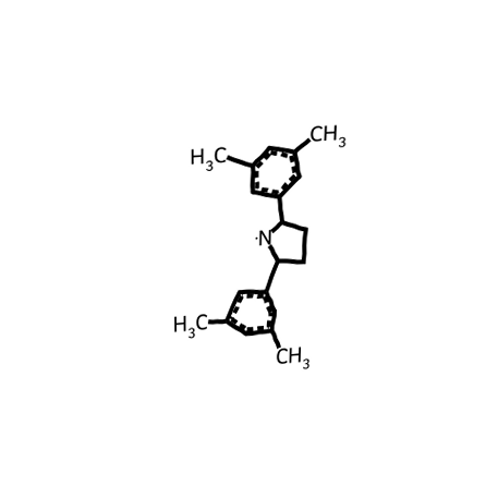 Cc1cc(C)cc(C2CCC(c3cc(C)cc(C)c3)[N]2)c1